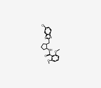 COc1cccc(OC)c1C(=O)NC1CCCC1Cc1nc2ccc(Cl)cc2s1